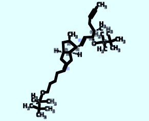 CC#CC[C@H](C)[C@@H](/C=C/[C@@H]1[C@H]2C/C(=C/CCCCO[Si](C)(C)C(C)(C)C)C[C@H]2C[C@H]1C)O[Si](C)(C)C(C)(C)C